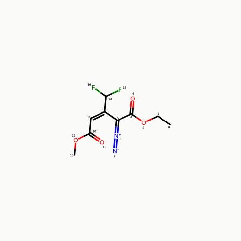 CCOC(=O)C(=[N+]=[N-])/C(=C\C(=O)OC)C(F)F